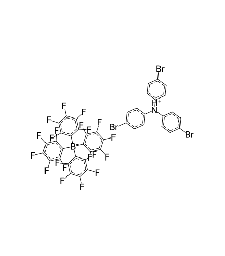 Brc1ccc([NH+](c2ccc(Br)cc2)c2ccc(Br)cc2)cc1.Fc1c(F)c(F)c([B-](c2c(F)c(F)c(F)c(F)c2F)(c2c(F)c(F)c(F)c(F)c2F)c2c(F)c(F)c(F)c(F)c2F)c(F)c1F